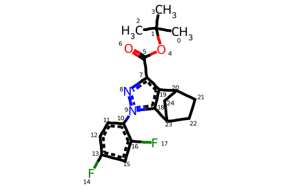 CC(C)(C)OC(=O)c1nn(-c2ccc(F)cc2F)c2c1C1CCC2C1